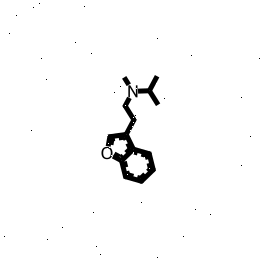 CC(C)N(C)CCc1coc2ccccc12